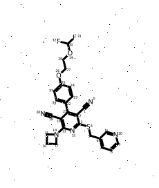 N#Cc1c(SCc2cccnc2)nc(N2CCC2)c(C#N)c1-c1ccc(OCCOC(F)F)cc1